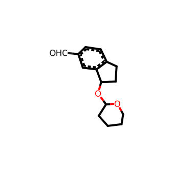 O=Cc1ccc2c(c1)C(OC1CCCCO1)CC2